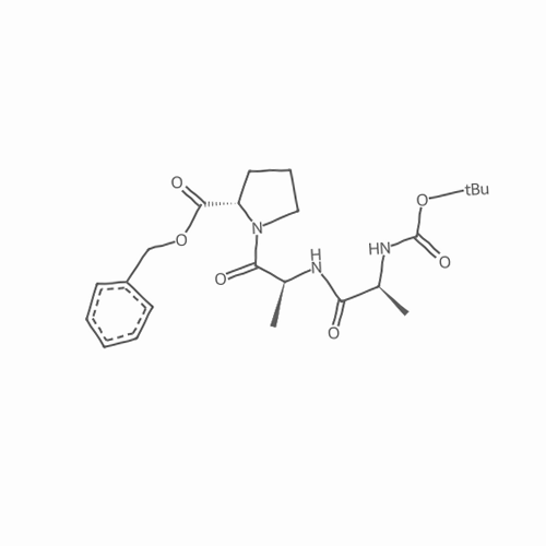 C[C@H](NC(=O)OC(C)(C)C)C(=O)N[C@@H](C)C(=O)N1CCC[C@H]1C(=O)OCc1ccccc1